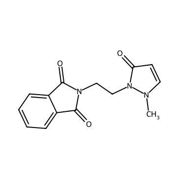 Cn1ccc(=O)n1CCN1C(=O)c2ccccc2C1=O